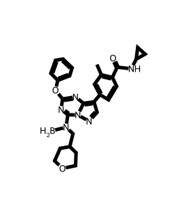 BN(CC1CCOCC1)c1nc(Oc2ccccc2)nc2c(-c3ccc(C(=O)NC4CC4)c(C)c3)cnn12